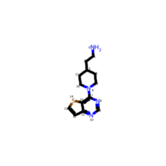 NCCC1CCN(c2ncnc3ccsc23)CC1